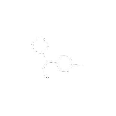 CCCC/C=C(/c1ccccc1)c1ccc(Br)cc1